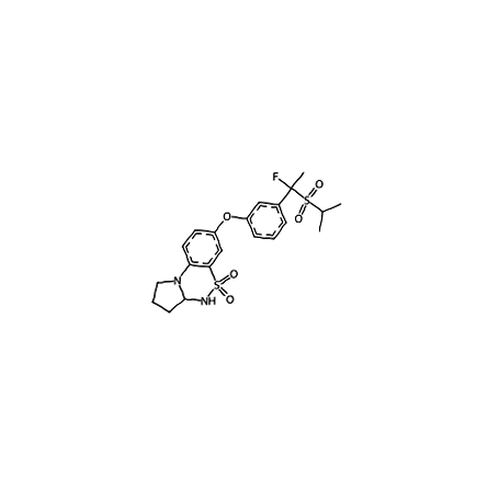 CC(C)S(=O)(=O)C(C)(F)c1cccc(Oc2ccc3c(c2)S(=O)(=O)NC2CCCN32)c1